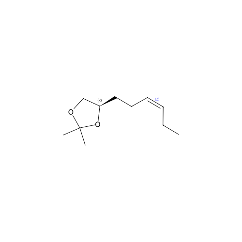 CC/C=C\CC[C@@H]1COC(C)(C)O1